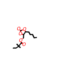 CCCCCC1OC(=O)OC1COC(=O)C(C)(C)CC